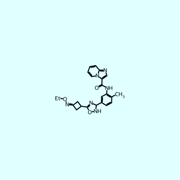 CCON=C1CC(C2=NC(c3ccc(C)c(NC(=O)c4cnc5ccccn45)c3)NO2)C1